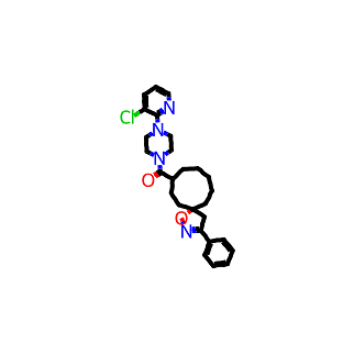 O=C(C1CCCCCC2(CC1)CC(c1ccccc1)=NO2)N1CCN(c2ncccc2Cl)CC1